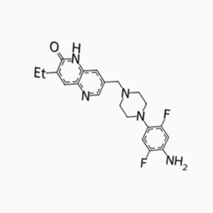 CCc1cc2ncc(CN3CCN(c4cc(F)c(N)cc4F)CC3)cc2[nH]c1=O